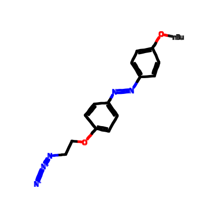 CCCCOc1ccc(N=Nc2ccc(OCCN=[N+]=[N-])cc2)cc1